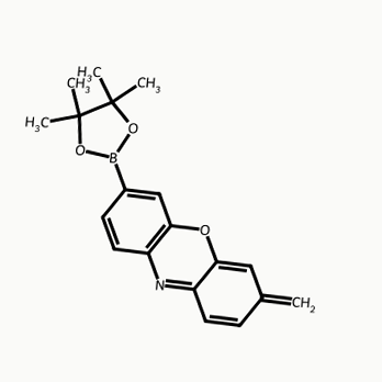 C=c1ccc2c(c1)Oc1cc(B3OC(C)(C)C(C)(C)O3)ccc1N=2